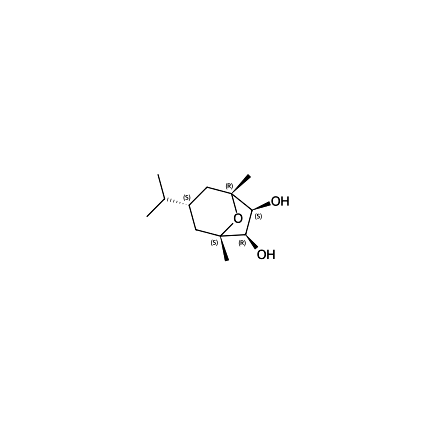 CC(C)[C@@H]1C[C@@]2(C)O[C@@](C)(C1)[C@H](O)[C@@H]2O